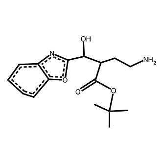 CC(C)(C)OC(=O)C(CCN)C(O)c1nc2ccccc2o1